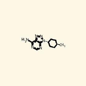 C[C@H]1CC[C@H](n2nnc3c(N)ncnc32)CC1